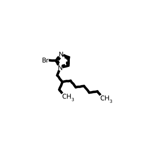 CCCCCCC(CC)Cn1ccnc1Br